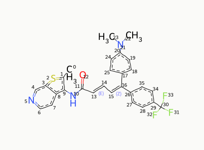 Cc1sc2cnccc2c1NC(=O)/C=C/C=C(\c1ccc(N(C)C)cc1)c1ccc(C(F)(F)F)cc1